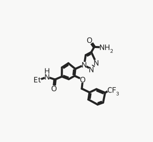 CCNC(=O)c1ccc(-n2cc(C(N)=O)nn2)c(OCc2cccc(C(F)(F)F)c2)c1